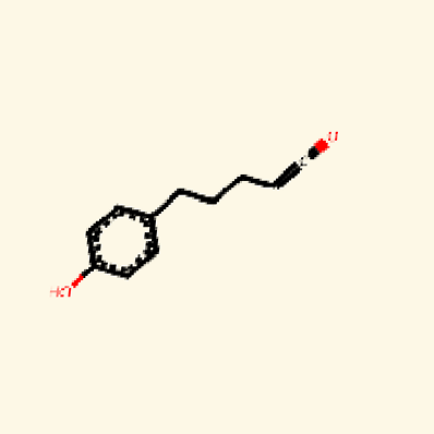 O=C=CCCCc1ccc(O)cc1